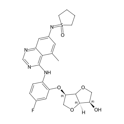 Cc1cc(N=S2(=O)CCCC2)cc2ncnc(Nc3ccc(F)cc3O[C@@H]3CO[C@H]4C3OC[C@H]4O)c12